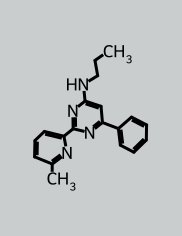 CCCNc1cc(-c2ccccc2)nc(-c2cccc(C)n2)n1